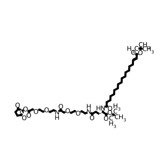 CC(C)(C)OC(=O)C=CCCCCCCCCCCCCCCC(=O)N[C@@H](CCC(=O)NCCOCCOCC(=O)NCCOCCOCC(=O)ON1C(=O)CCC1=O)C(=O)OC(C)(C)C